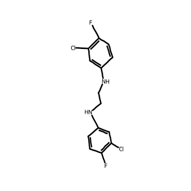 Fc1ccc(NCCNc2ccc(F)c(Cl)c2)cc1Cl